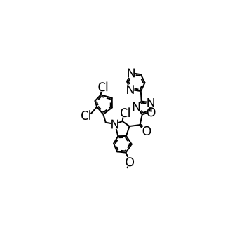 COc1ccc2c(c1)C(C(=O)c1nc(-c3ccncn3)no1)C(Cl)N2Cc1ccc(Cl)cc1Cl